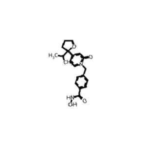 CC(C)C1(c2ccn(Cc3ccc(C(=O)NO)cc3)c(=O)c2)CCCO1